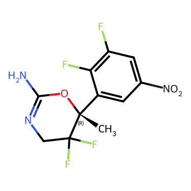 C[C@]1(c2cc([N+](=O)[O-])cc(F)c2F)OC(N)=NCC1(F)F